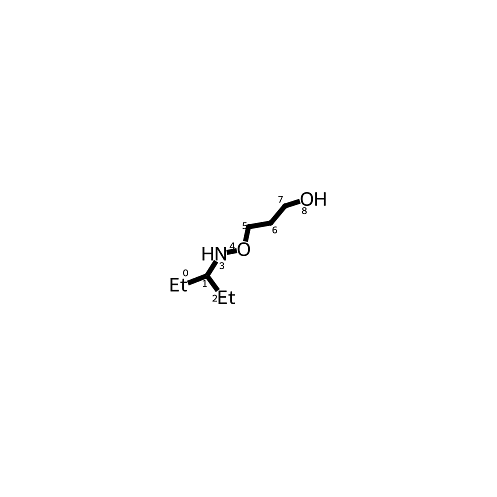 CCC(CC)NOCCCO